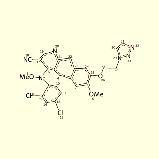 COc1cc2cc3c(N(OC)c4ccc(Cl)cc4Cl)c(C#N)cnc3cc2cc1OCCn1ccnn1